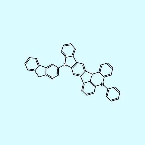 c1ccc(N2c3ccccc3-n3c4cc5c6ccccc6n(-c6ccc7c(c6)-c6ccccc6C7)c5cc4c4cccc2c43)cc1